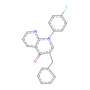 O=c1c(Cc2ccccc2)cn(-c2ccc(F)cc2)c2ncccc12